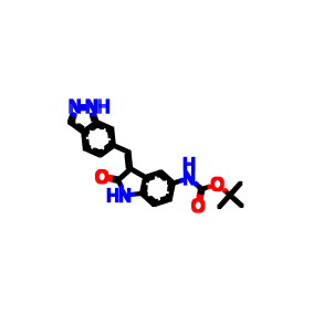 CC(C)(C)OC(=O)Nc1ccc2c(c1)C(=Cc1ccc3cn[nH]c3c1)C(=O)N2